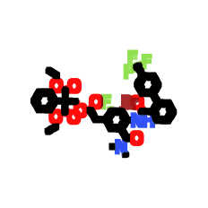 CCOC(=O)C(COC(=O)Cc1cc(C(=O)N(C)C)c(NC(=O)c2ccccc2-c2ccc(C(F)(F)F)cc2)c(Br)c1F)(C(=O)OCC)c1ccccc1